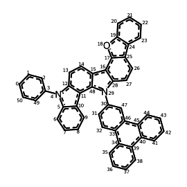 c1ccc(-n2c3ccccc3c3c2ccc2c4c5oc6ccccc6c5ccc4n(-c4ccc5c6ccccc6c6ccccc6c5c4)c23)cc1